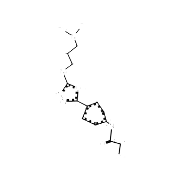 CCN(CC)CCCNc1nnc(-c2ccc(NC(=O)CC(C)C)cc2)o1